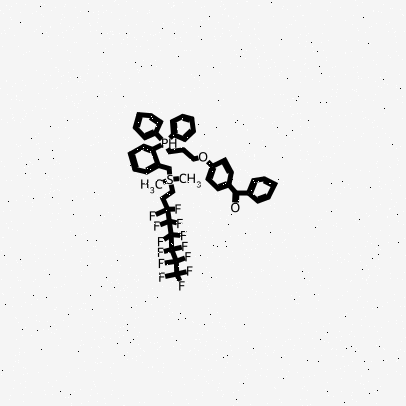 CS(C)(CCC(F)(F)C(F)(F)C(F)(F)C(F)(F)C(F)(F)C(F)(F)F)Cc1ccccc1[PH](CCCOc1ccc(C(=O)c2ccccc2)cc1)(c1ccccc1)c1ccccc1